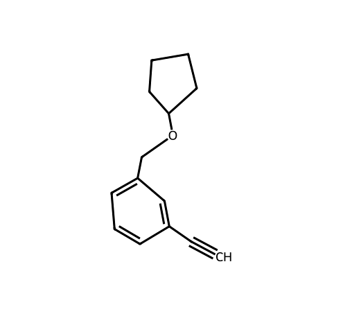 C#Cc1cccc(COC2CCCC2)c1